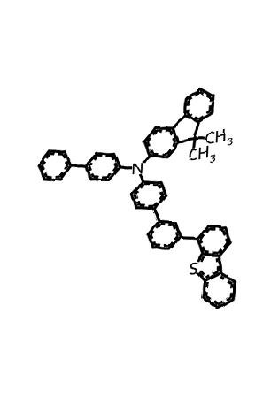 CC1(C)c2ccccc2-c2ccc(N(c3ccc(-c4ccccc4)cc3)c3ccc(-c4cccc(-c5cccc6c5sc5ccccc56)c4)cc3)cc21